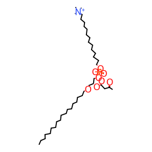 CCCCCCCCCCCCCCCCCCOCC(COP(=O)([O-])OCCCCCCCCCCCCCC[N+](C)(C)C)OC(=O)CC(C)=O